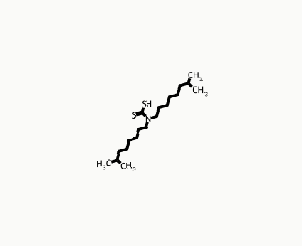 CC(C)CCCCCCN(CCCCCCC(C)C)C(=S)S